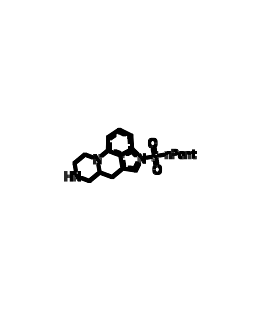 CCCCCS(=O)(=O)n1cc2c3c(cccc31)N1CCNCC1C2